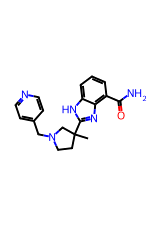 CC1(c2nc3c(C(N)=O)cccc3[nH]2)CCN(Cc2ccncc2)C1